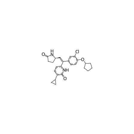 O=C1CC[C@H](/C=C(/c2ccc(OC3CCCC3)c(Cl)c2)c2ccc(C3CC3)c(=O)[nH]2)N1